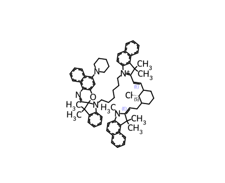 CN1/C(=C/CC2CCCC(/C=C/C3=[N+](CCCCCCN4c5ccccc5C(C)(C)C45C=Nc4c(cc(N6CCCCC6)c6ccccc46)O5)c4ccc5ccccc5c4C3(C)C)[C@H]2Cl)C(C)(C)c2c1ccc1ccccc21